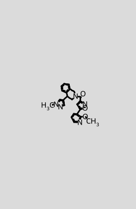 COc1ncccc1-c1cc(C(=O)N2Cc3ccccc3C(c3cnn(C)c3)C2)no1